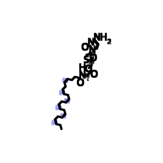 CC/C=C\C/C=C\C/C=C\C/C=C\C/C=C\C/C=C\CCC(=O)N[C@@H](C)C(=O)OC[C@@H]1O[C@H](n2ccc(N)nc2=O)CS1